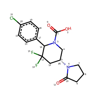 O=C(O)N1C[C@H](N2CCCC2=O)CC(F)(F)C1c1ccc(Cl)cc1